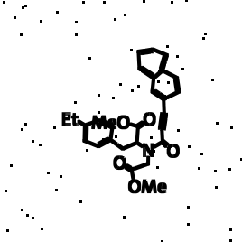 CCc1ccc(CC(C(=O)OC)N(CC(=O)OC)C(=O)C#Cc2ccc3ccccc3c2)cc1